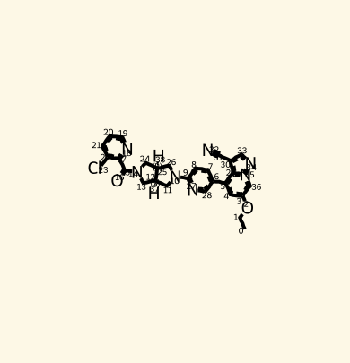 CCOc1cc(-c2ccc(N3C[C@H]4CN(C(=O)c5ncccc5Cl)C[C@H]4C3)nc2)c2c(C#N)cnn2c1